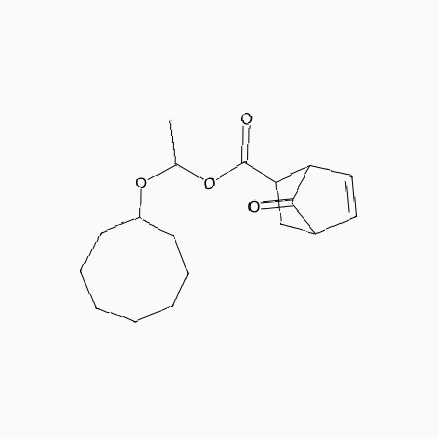 CC(OC(=O)C1CC2C=CC1C2=O)OC1CCCCCCC1